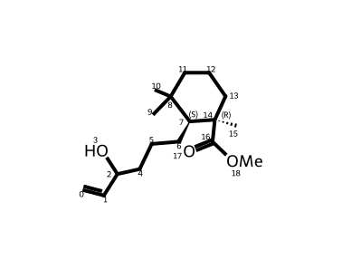 C=CC(O)CCC[C@H]1C(C)(C)CCC[C@@]1(C)C(=O)OC